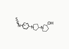 OC1CCCN(C2CCN(c3ccc(N=C=S)cc3)CC2)C1